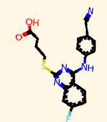 N#Cc1ccc(Nc2nc(SCCCC(=O)O)nc3cc(F)ccc23)cc1